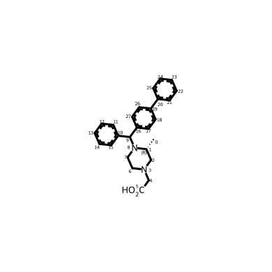 C[C@@H]1CN(CC(=O)O)CCN1C(c1ccccc1)c1ccc(-c2ccccc2)cc1